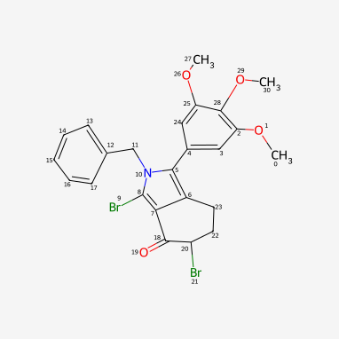 COc1cc(-c2c3c(c(Br)n2Cc2ccccc2)C(=O)C(Br)CC3)cc(OC)c1OC